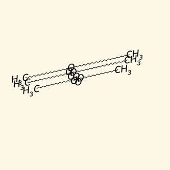 CCCCCCCCCCCCCCCCCCCCCCCCCCCCOC(=O)CCCCCCCCCCCCCCCCCCCCC.CCCCCCCCCCCCCCCCCCCCCCCCCCOC(=O)CCCCCCCCCCCCCCCCCCCCC.CCCCCCCCCCCCCCCCCCOC(=O)C(=O)OCCCCCCCCCCCCCCCCCC